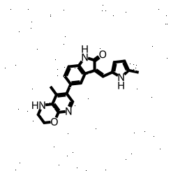 Cc1ccc(C=C2C(=O)Nc3ccc(-c4cnc5c(c4C)NCCO5)cc32)[nH]1